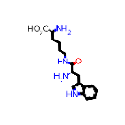 N[C@@H](CCCCNC(=O)[C@@H](N)Cc1c[nH]c2ccccc12)C(=O)O